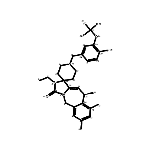 CCN1C(=O)N2Cc3cc(C)cc(C)c3[C@H](C)C=C2C12CCN(Cc1ccc(F)c(OC(F)(F)F)c1)CC2